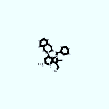 Cc1c(CO)c2nccc(N3CCc4ccccc4C3)c2n1Cc1ccccc1.Cl